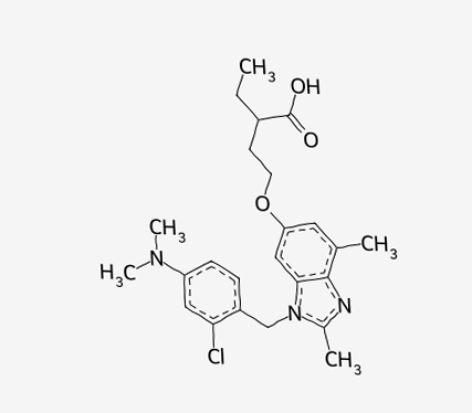 CCC(CCOc1cc(C)c2nc(C)n(Cc3ccc(N(C)C)cc3Cl)c2c1)C(=O)O